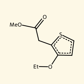 CCOc1ccsc1CC(=O)OC